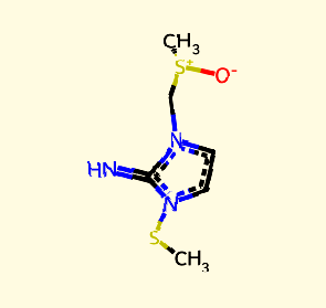 CSn1ccn(C[S@+](C)[O-])c1=N